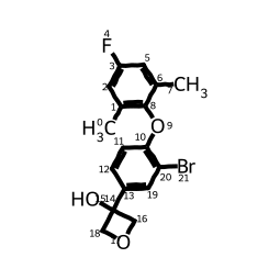 Cc1cc(F)cc(C)c1Oc1ccc(C2(O)COC2)cc1Br